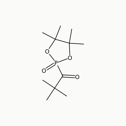 CC(C)(C)C(=O)P1(=O)OC(C)(C)C(C)(C)O1